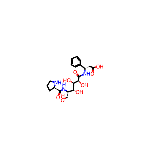 O=C(O)C[C@H](NC(=O)[C@@H](O)[C@H](O)[C@H](O)[C@H](CO)NC(=O)[C@H]1CCCN1)c1ccccc1